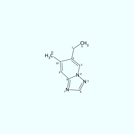 CCc1cn2ncnc2cc1C